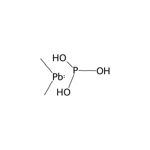 OP(O)O.[CH3][Pb][CH3]